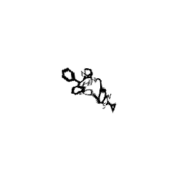 COc1cc2sc(C3CC3)nc2cc1CNC1C2CCN(C2)C1C(c1ccccc1)c1ccccc1